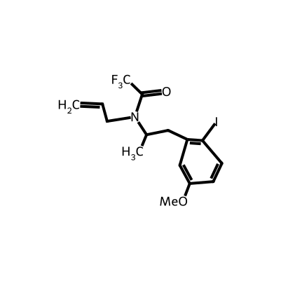 C=CCN(C(=O)C(F)(F)F)C(C)Cc1cc(OC)ccc1I